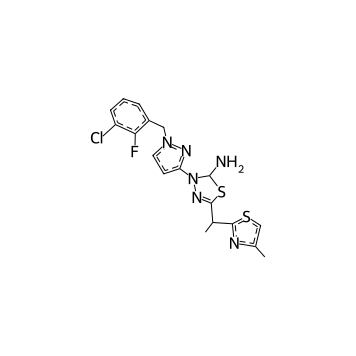 Cc1csc(C(C)C2=NN(c3ccn(Cc4cccc(Cl)c4F)n3)C(N)S2)n1